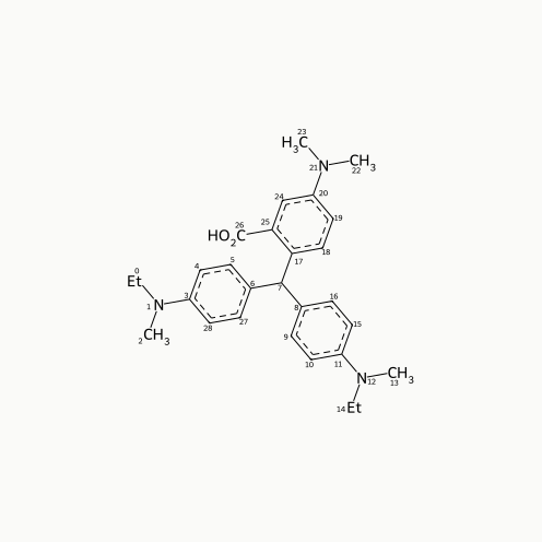 CCN(C)c1ccc(C(c2ccc(N(C)CC)cc2)c2ccc(N(C)C)cc2C(=O)O)cc1